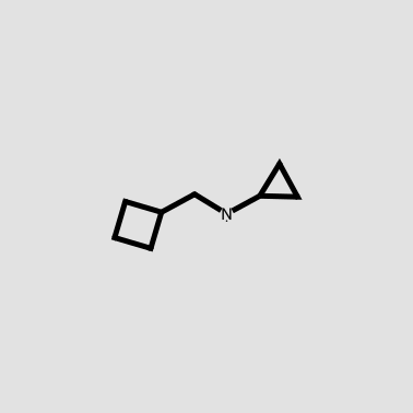 C1CC(C[N]C2CC2)C1